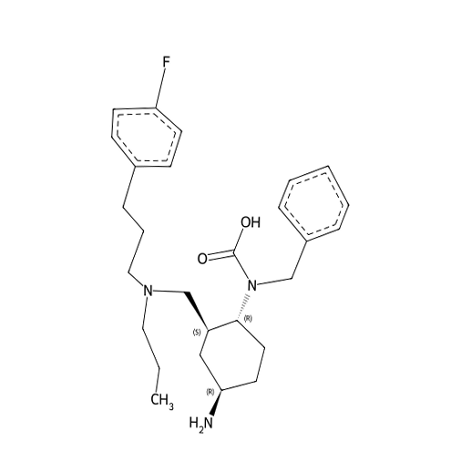 CCCN(CCCc1ccc(F)cc1)C[C@@H]1C[C@H](N)CC[C@H]1N(Cc1ccccc1)C(=O)O